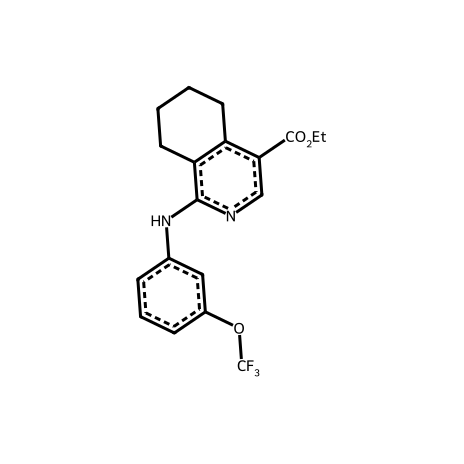 CCOC(=O)c1cnc(Nc2cccc(OC(F)(F)F)c2)c2c1CCCC2